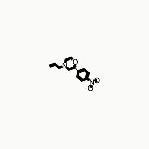 C=CCN1CCO[C@H](c2ccc([N+](=O)[O-])cc2)C1